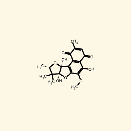 COc1c(O)c2c(c3c1O[C@@]1(O)C(C)(C)[C@H](C)O[C@@]31O)C(=O)C(C)=CC2=O